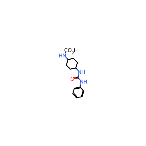 O=C(O)NC1CCC(NC(=O)Nc2ccccc2)CC1